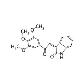 COc1cc(C(=O)C=C2C(=O)Nc3ccccc32)cc(OC)c1OC